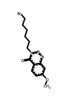 COc1ccc2c(=O)n(CCCCCCBr)nnc2c1